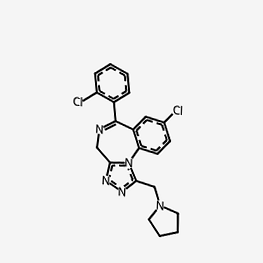 Clc1ccc2c(c1)C(c1ccccc1Cl)=NCc1nnc(CN3CCCC3)n1-2